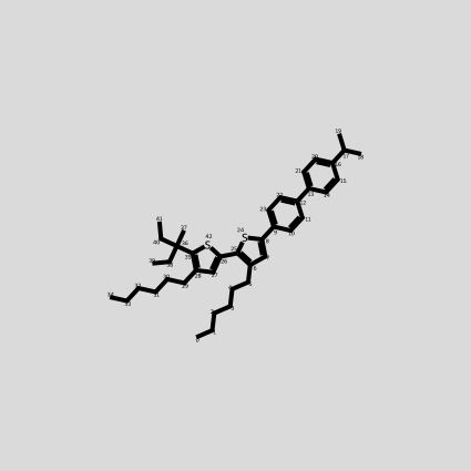 CCCCCCc1cc(-c2ccc(-c3ccc(C(C)C)cc3)cc2)sc1-c1cc(CCCCCC)c(C(C)(CC)CC)s1